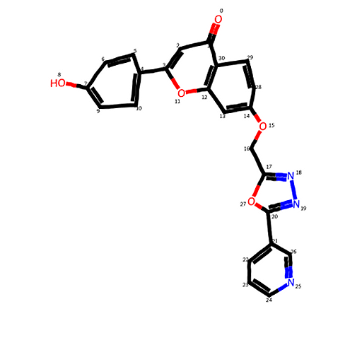 O=c1cc(-c2ccc(O)cc2)oc2cc(OCc3nnc(-c4cccnc4)o3)ccc12